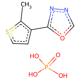 Cc1sccc1-c1nnco1.O=P(O)(O)O